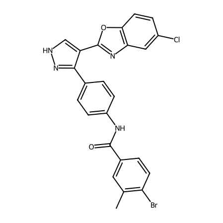 Cc1cc(C(=O)Nc2ccc(-c3n[nH]cc3-c3nc4cc(Cl)ccc4o3)cc2)ccc1Br